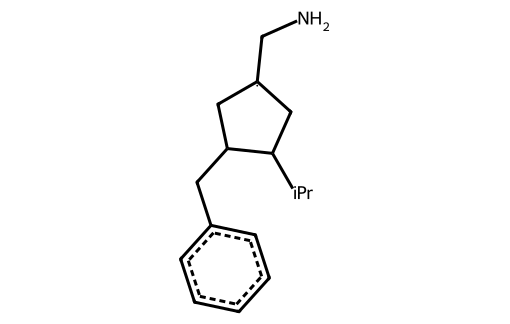 CC(C)C1C[C](CN)CC1Cc1ccccc1